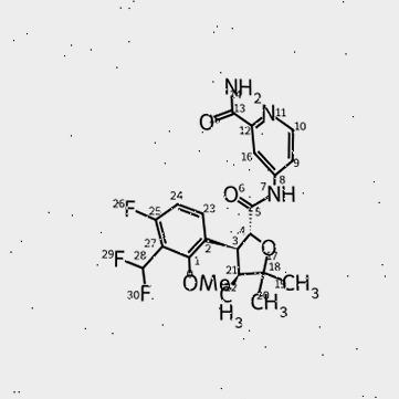 COc1c([C@H]2[C@H](C(=O)Nc3ccnc(C(N)=O)c3)OC(C)(C)[C@H]2C)ccc(F)c1C(F)F